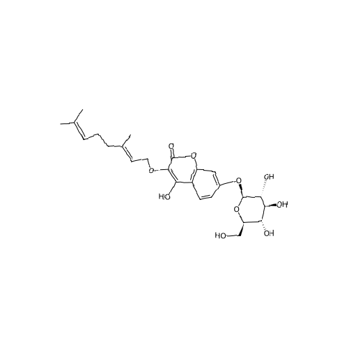 CC(C)=CCC/C(C)=C/COc1c(O)c2ccc(O[C@@H]3O[C@H](CO)[C@@H](O)[C@H](O)[C@H]3O)cc2oc1=O